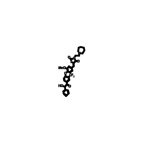 COc1cc(C=C2SC(=O)N(CCN3CCCCCC3)C2=O)ccc1Oc1ccc(C(=O)C(O)c2ccccc2)cc1C(F)(F)F